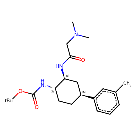 CN(C)CC(=O)N[C@H]1C[C@@H](c2cccc(C(F)(F)F)c2)CC[C@@H]1NC(=O)OC(C)(C)C